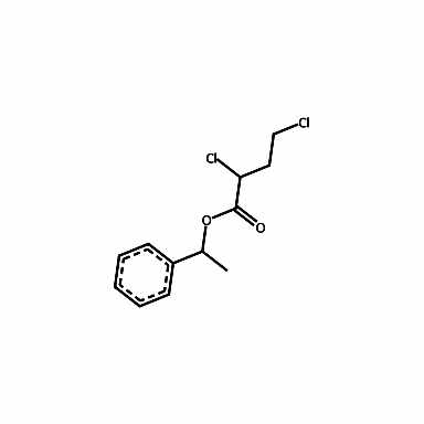 CC(OC(=O)C(Cl)CCCl)c1ccccc1